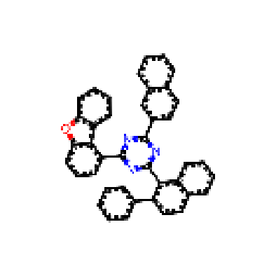 c1ccc(-c2ccc3ccccc3c2-c2nc(-c3ccc4ccccc4c3)nc(-c3cccc4oc5ccccc5c34)n2)cc1